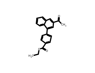 CCOC(=O)c1ccc(-c2cc(C(C)=O)cc3ccccc23)cc1